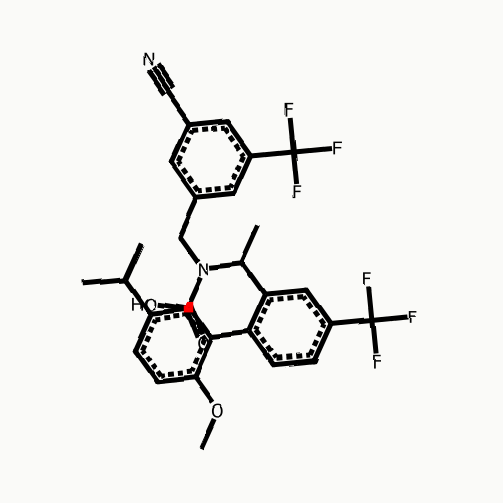 COc1ccc(C(C)C)cc1-c1ccc(C(F)(F)F)cc1C(C)N(Cc1cc(C#N)cc(C(F)(F)F)c1)C(=O)O